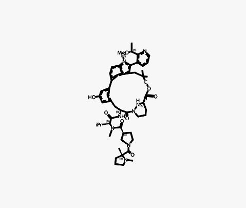 CCn1c(-c2cccnc2[C@H](C)OC)c2c3cc(ccc31)-c1cc(O)cc(c1)C[C@H](NC(=O)[C@H](C(C)C)N(C)C(=O)[C@H]1CCN(C(=O)[C@@]3(C)CCCN3C)C1)C(=O)N1CCC[C@H](N1)C(=O)OCC(C)(C)C2